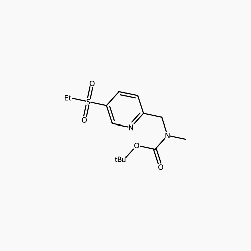 CCS(=O)(=O)c1ccc(CN(C)C(=O)OC(C)(C)C)nc1